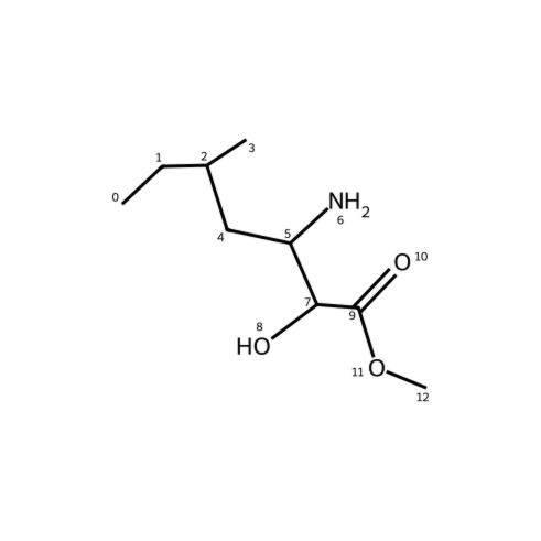 CCC(C)CC(N)C(O)C(=O)OC